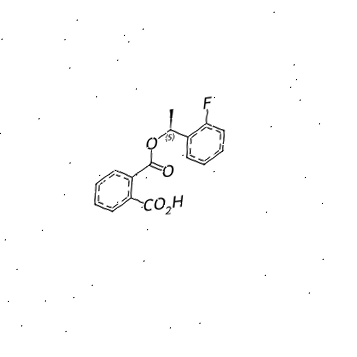 C[C@H](OC(=O)c1ccccc1C(=O)O)c1ccccc1F